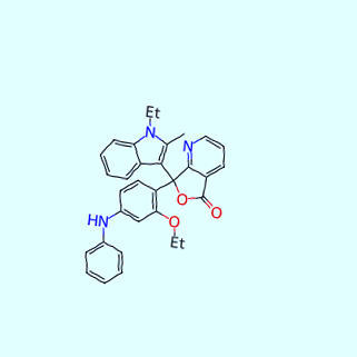 CCOc1cc(Nc2ccccc2)ccc1C1(c2c(C)n(CC)c3ccccc23)OC(=O)c2cccnc21